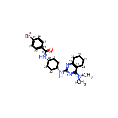 CN(C)c1nc(N[C@H]2CC[C@@H](NC(=O)c3ccc(Br)cc3)CC2)nc2c1CCCC2